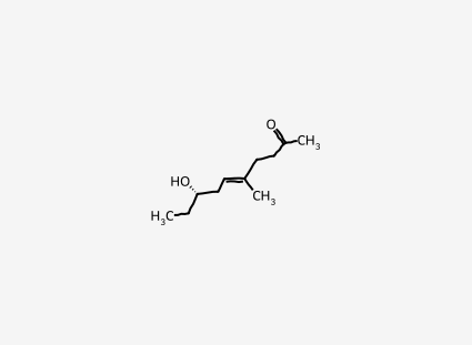 CC[C@H](O)C/C=C(\C)CCC(C)=O